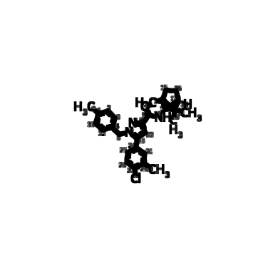 Cc1ccc(Cn2nc(C(=O)N[C@H]3C4(C)CC[C@H](C4)C3(C)C)cc2-c2ccc(Cl)c(C)c2)cc1